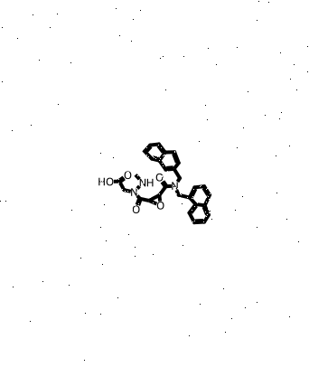 CNN(CC(=O)O)C(=O)C1OC1C(=O)N(Cc1ccc2ccccc2c1)Cc1cccc2ccccc12